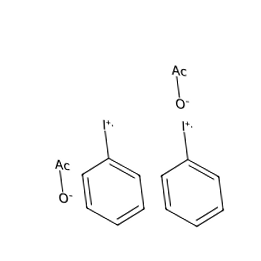 CC(=O)[O-].CC(=O)[O-].[I+]c1ccccc1.[I+]c1ccccc1